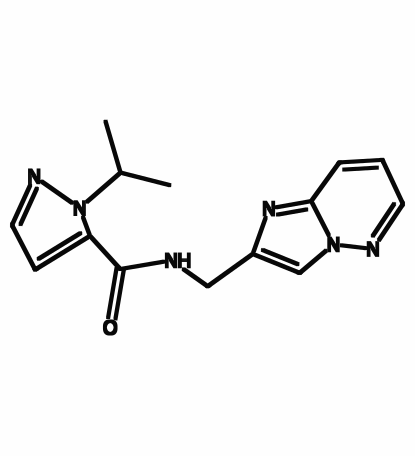 CC(C)n1nccc1C(=O)NCc1cn2ncccc2n1